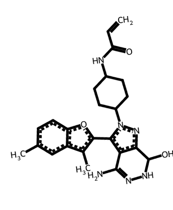 C=CC(=O)NC1CCC(n2nc3c(c2-c2oc4ccc(C)cc4c2C)C(N)=NNC3O)CC1